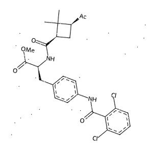 COC(=O)[C@H](Cc1ccc(NC(=O)c2c(Cl)cccc2Cl)cc1)NC(=O)[C@@H]1C[C@H](C(C)=O)C1(C)C